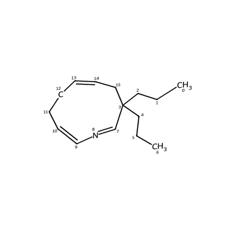 CCCC1(CCC)C=NC=CCCC=CC1